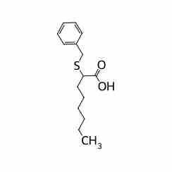 CCCCCCC(SCc1ccccc1)C(=O)O